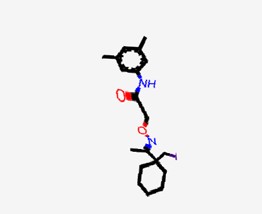 C/C(=N\OCC(=O)Nc1cc(C)cc(C)c1)C1(CI)CCCCC1